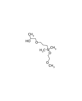 COCCO[Si](C)(C)CCCOCC(C)O